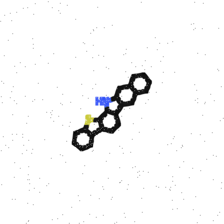 c1ccc2cc3c(cc2c1)[nH]c1c3ccc2c3ccccc3sc21